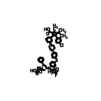 Cc1c(C(=O)O)c(-c2cccc(N3CCN(c4ccc(Sc5ccc(N[C@H](CCOP(=O)(O)O)CSc6ccccc6)c(S(=O)(=O)C(F)(F)F)c5)cc4)CC3)c2)c(-c2ccc(Cl)cc2)n1C(C)C